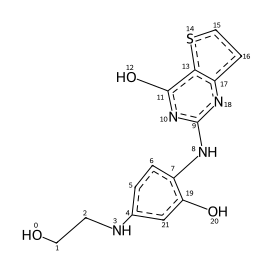 OCCNc1ccc(Nc2nc(O)c3sccc3n2)c(O)c1